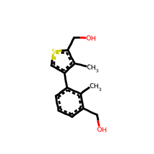 Cc1c(CO)cccc1-c1csc(CO)c1C